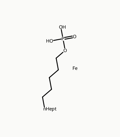 CCCCCCCCCCCCOP(=O)(O)O.[Fe]